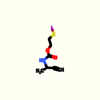 C#C[C@@H](C)NC(=O)OCCSI